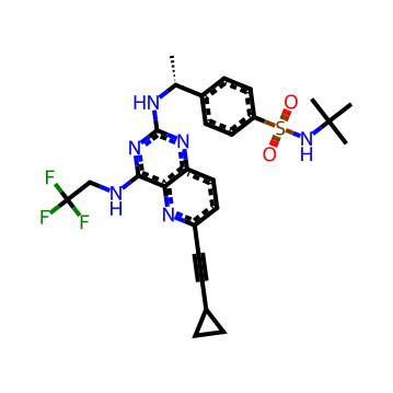 C[C@@H](Nc1nc(NCC(F)(F)F)c2nc(C#CC3CC3)ccc2n1)c1ccc(S(=O)(=O)NC(C)(C)C)cc1